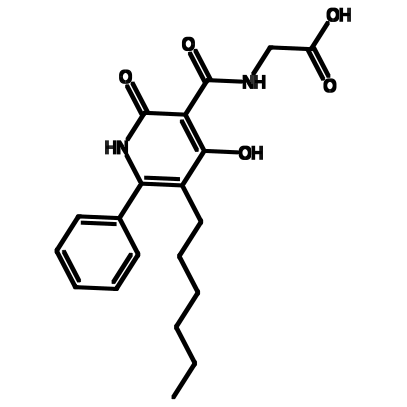 CCCCCCc1c(-c2ccccc2)[nH]c(=O)c(C(=O)NCC(=O)O)c1O